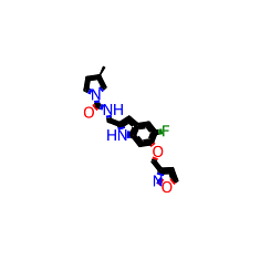 C[C@@H]1CCN(C(=O)NCc2cc3cc(F)c(OCc4ccon4)cc3[nH]2)C1